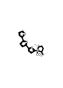 CC1CC[C@@H](C)[N+]1(C(=O)O)c1ccc(-c2ccc(-c3cccs3)s2)s1